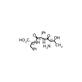 CC(C)C[C@@H](NC(=O)[C@@H](NC(=O)[C@@H](N)C(C)O)C(C)C)C(=O)O